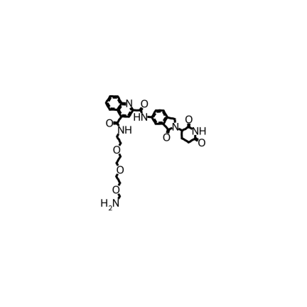 NCOCCOCCOCCNC(=O)c1cc(C(=O)Nc2ccc3c(c2)C(=O)N(C2CCC(=O)NC2=O)C3)nc2ccccc12